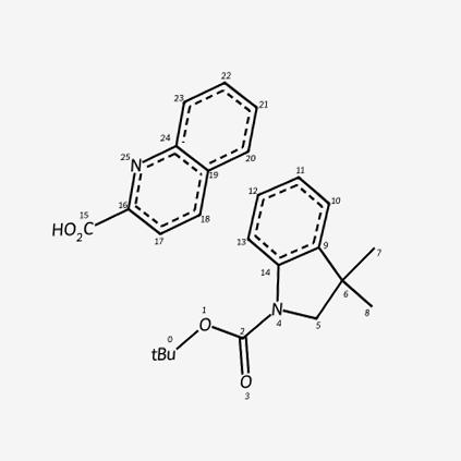 CC(C)(C)OC(=O)N1CC(C)(C)c2ccccc21.O=C(O)c1ccc2ccccc2n1